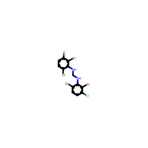 CCc1ccc(Cl)c(CC)c1NCNc1c(CC)ccc(Cl)c1CC